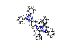 N#Cc1ccc(-n2c3ccccc3c3cc(-c4nc(-c5ccccc5)nc(-c5ccccc5)n4)ccc32)c(-c2nc(-c3ccccc3)cc(-c3ccccc3)n2)c1